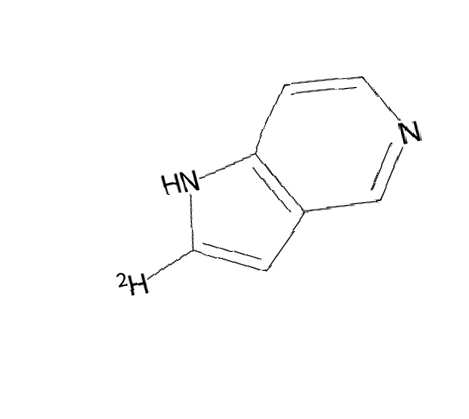 [2H]c1cc2cnccc2[nH]1